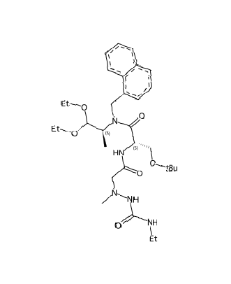 CCNC(=O)NN(C)CC(=O)N[C@@H](COC(C)(C)C)C(=O)N(Cc1cccc2ccccc12)[C@@H](C)C(OCC)OCC